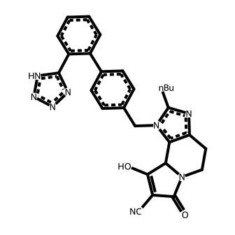 CCCCc1nc2c(n1Cc1ccc(-c3ccccc3-c3nnn[nH]3)cc1)C1C(O)=C(C#N)C(=O)N1CC2